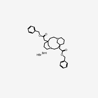 Br.Br.O=C(CC12CCCN(CCC3(CC(=O)OCc4ccccc4)CCCN(CC1)C3)C2)OCc1ccccc1